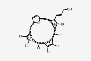 CCC1=C(CC)c2nc1c(CC)c1[nH]c(cc3nc(cc4c(CC)c(CC)c(c2CC)n4CC)C=C3)c(C=CCO)c1CC